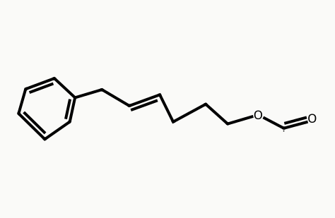 O=[C]OCCCC=CCc1ccccc1